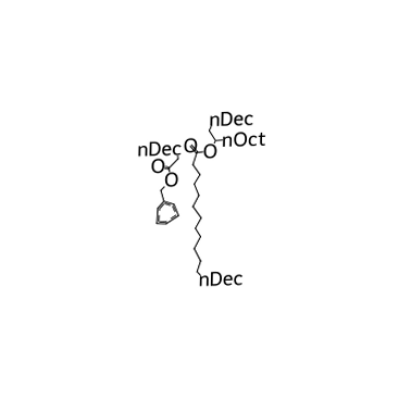 CCCCCCCCCCCC(=O)OCc1ccccc1.CCCCCCCCCCCCCCCCCCCCCC(=O)OC(CCCCCCCC)CCCCCCCCCCC